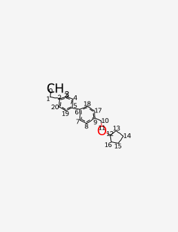 CCc1ccc(-c2ccc(COC3CCCC3)cc2)cc1